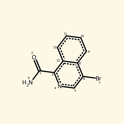 NC(=O)c1ncc(Br)c2ccc[c]c12